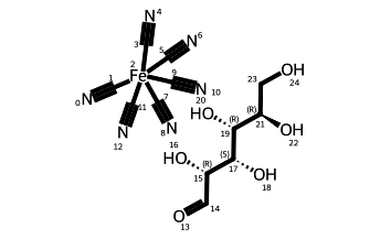 N#[C][Fe]([C]#N)([C]#N)([C]#N)([C]#N)[C]#N.O=C[C@H](O)[C@@H](O)[C@H](O)[C@H](O)CO